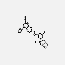 N#Cc1cc(-c2ccoc2)c2ccc(COC3=CC(C4(O)CC5COC(C4)O5)CC(F)=C3)cc2n1